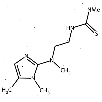 CNC(=S)NCCN(C)c1ncc(C)n1C